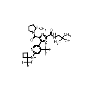 C[C@H]1CCCN1C(=O)c1nc(C(=O)NCC(C)(C)O)sc1-c1cnc(NC2(C(F)(F)F)CCC2)cc1C(F)(F)F